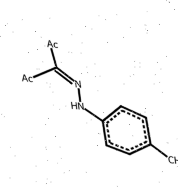 CC(=O)C(=NNc1ccc(C)cc1)C(C)=O